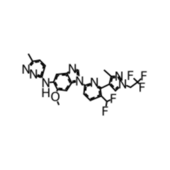 COc1cc2c(cc1Nc1ccc(C)nn1)ncn2-c1ccc(C(F)F)c(-c2cn(CC(F)(F)F)nc2C)n1